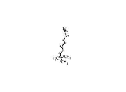 C[Si](C)(C)CCOCCN=[N+]=[N-]